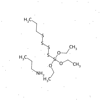 CCCN.CCCSSSS[Si](OCC)(OCC)OCC